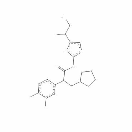 O=C(Nc1nc(C(O)CO)cs1)C(CC1CCCC1)c1ccc(Cl)c(Cl)c1